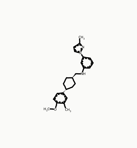 COc1ccc([C@H]2CC[C@H](CNc3cccc(-n4ccc(C)n4)c3)CC2)cc1C